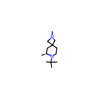 C[C@H]1CC2(CCN1C(C)(C)C)CN(C)C2